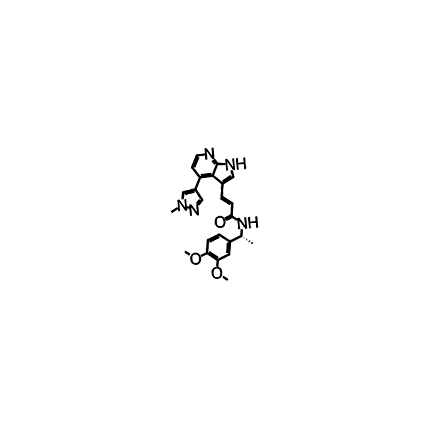 COc1ccc([C@@H](C)NC(=O)/C=C/c2c[nH]c3nccc(-c4cnn(C)c4)c23)cc1OC